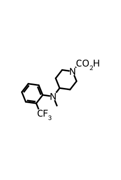 CN(c1ccccc1C(F)(F)F)C1CCN(C(=O)O)CC1